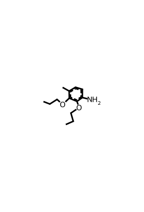 CCCOc1c(C)ccc(N)c1OCCC